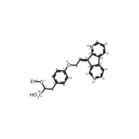 CCOC(Cc1ccc(OC/C=C2\c3cnccc3-c3cccnc32)cc1)C(=O)O